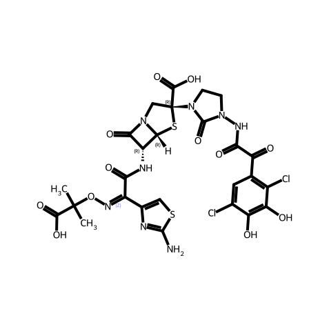 CC(C)(O/N=C(\C(=O)N[C@@H]1C(=O)N2C[C@@](C(=O)O)(N3CCN(NC(=O)C(=O)c4cc(Cl)c(O)c(O)c4Cl)C3=O)S[C@H]12)c1csc(N)n1)C(=O)O